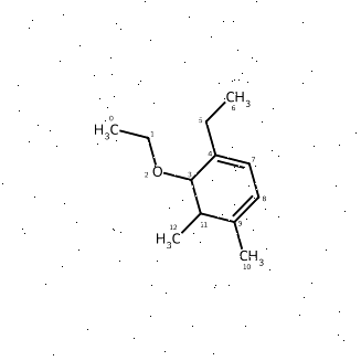 CCOC1C(CC)=CC=C(C)C1C